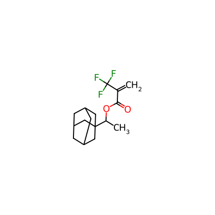 C=C(C(=O)OC(C)C12CC3CC(CC(C3)C1)C2)C(F)(F)F